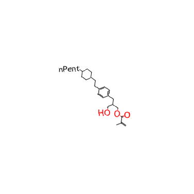 C=C(C)C(=O)OCC(CO)Cc1ccc(CCC2CCC(CCCCC)CC2)cc1